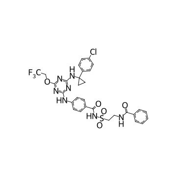 O=C(NCCS(=O)(=O)NC(=O)c1ccc(Nc2nc(NC3(c4ccc(Cl)cc4)CC3)nc(OCC(F)(F)F)n2)cc1)c1ccccc1